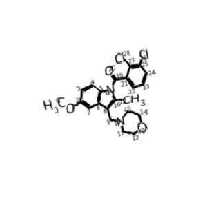 COc1ccc2c(c1)c(CN1CCOCC1)c(C)n2C(=O)c1cccc(Cl)c1Cl